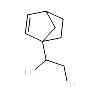 C[CH]C(C)C12C=CC(CC1)C2